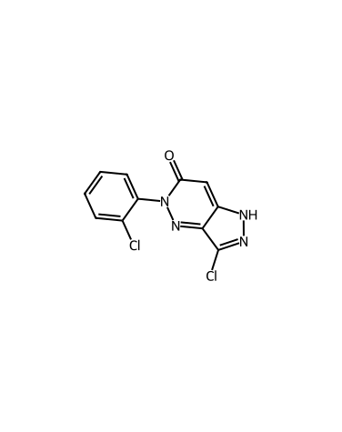 O=c1cc2[nH]nc(Cl)c2nn1-c1ccccc1Cl